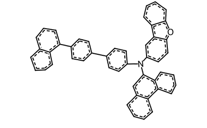 c1ccc2c(-c3ccc(-c4ccc(N(c5ccc6oc7ccccc7c6c5)c5cc6ccccc6c6ccccc56)cc4)cc3)cccc2c1